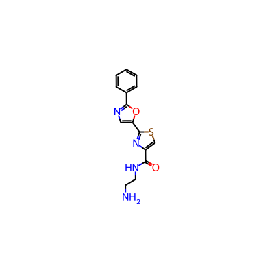 NCCNC(=O)c1csc(-c2cnc(-c3ccccc3)o2)n1